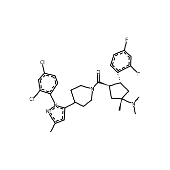 Cc1cc(C2CCN(C(=O)[C@@H]3C[C@@](C)(N(C)C)C[C@H]3c3ccc(F)cc3F)CC2)n(-c2ccc(Cl)cc2Cl)n1